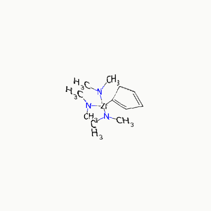 C[N](C)[Zr]([C]1=CC=CC1)([N](C)C)[N](C)C